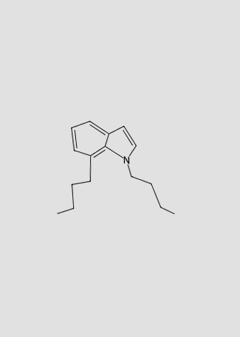 CCCCc1cccc2ccn(CCCC)c12